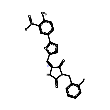 Cc1ccc(-c2ccc(/C=C3/NC(=O)N(Cc4ccccc4F)C3=O)o2)cc1[N+](=O)[O-]